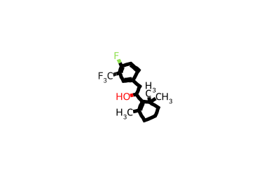 CC1=C(C(O)Cc2ccc(F)c(C(F)(F)F)c2)C(C)(C)CCC1